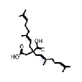 CC(C)=CCC/C(C)=C/CC(C/C=C(\C)CCC=C(C)C)(CC(=O)O)C(=O)O